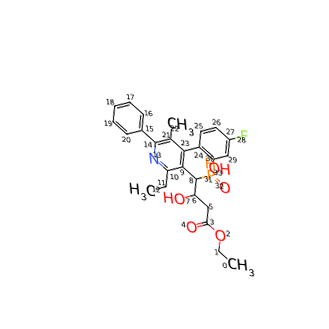 CCOC(=O)CC(O)C(c1c(CC)nc(-c2ccccc2)c(C)c1-c1ccc(F)cc1)[PH](=O)O